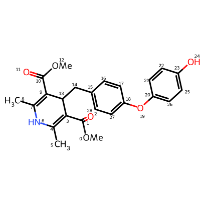 COC(=O)C1=C(C)NC(C)=C(C(=O)OC)C1Cc1ccc(Oc2ccc(O)cc2)cc1